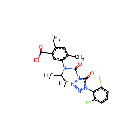 Cc1cc(C)c(N(C(=O)n2nnn(-c3c(F)cccc3F)c2=O)C(C)C)cc1C(=O)O